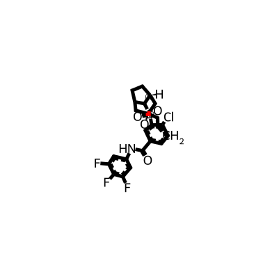 C=CC[C@@]1(O)CC2CC[C@@H](C1)C2S(=O)(=O)c1cc(C(=O)Nc2cc(F)c(F)c(F)c2)ccc1Cl